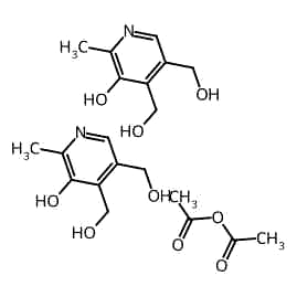 CC(=O)OC(C)=O.Cc1ncc(CO)c(CO)c1O.Cc1ncc(CO)c(CO)c1O